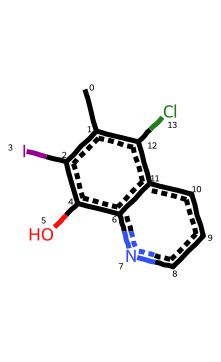 Cc1c(I)c(O)c2ncccc2c1Cl